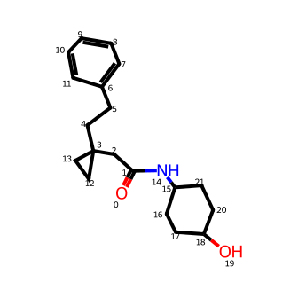 O=C(CC1(CCc2ccccc2)CC1)NC1CCC(O)CC1